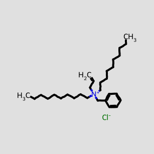 C=CC[N+](CCCCCCCCCC)(CCCCCCCCCC)Cc1ccccc1.[Cl-]